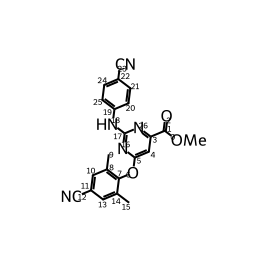 COC(=O)c1cc(Oc2c(C)cc(C#N)cc2C)nc(Nc2ccc(C#N)cc2)n1